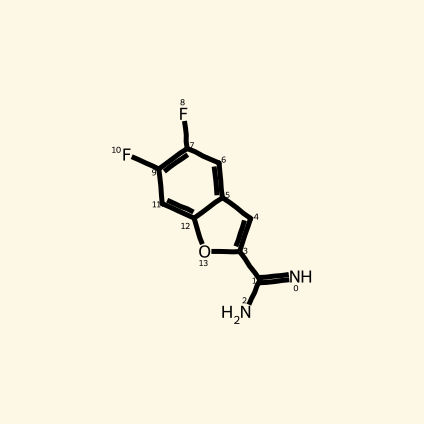 N=C(N)c1cc2cc(F)c(F)cc2o1